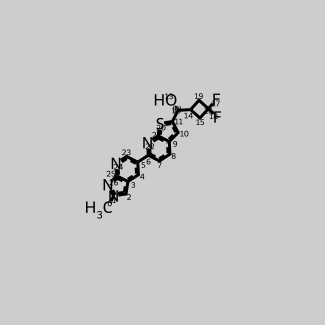 Cn1cc2cc(-c3ccc4cc([C@H](O)C5CC(F)(F)C5)sc4n3)cnc2n1